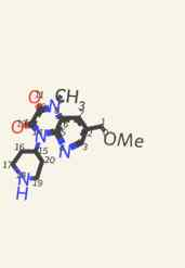 COCc1cnc2c(c1)n(C)c(=O)c(=O)n2C1CCNCC1